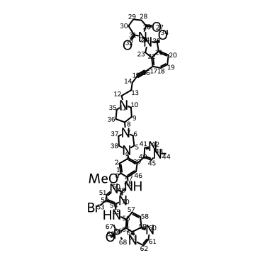 COc1cc(N2CCN(C3CCN(CCCC#Cc4cccc5c4CN(N4C(=O)CCCC4=O)C5=O)CC3)CC2)c(-c2cnn(C)c2)cc1Nc1ncc(Br)c(Nc2ccc3nccnc3c2P(C)(C)=O)n1